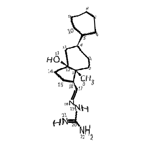 C[C@]12CC[C@H](C3CCCCC3)C[C@@]1(O)CC[C@@H]2C=NNC(=N)N